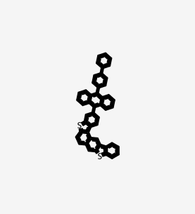 c1ccc(-c2ccc(-c3c4ccccc4c(-c4ccc5c(c4)sc4ccc6cc7sc8ccccc8c7cc6c45)c4ccccc34)cc2)cc1